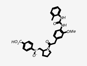 COc1cc(CC(=O)N2CCCC2C[S+]([O-])c2ccc(C(=O)O)cc2)ccc1NC(=O)Nc1ccccc1C